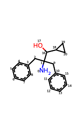 NC(Cc1ccccc1)(Cc1ccccc1)C(O)C1CC1